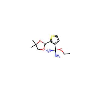 CCOC(N)(N)c1ccsc1B1OCC(C)(C)O1